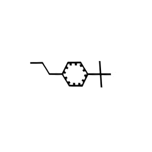 CCCc1ccc(C(C)(C)S)cc1